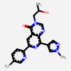 CC(O)Cn1cnc2c(-c3cnn(C)c3)nc(-c3ccc(C(F)(F)F)cn3)cc2c1=O